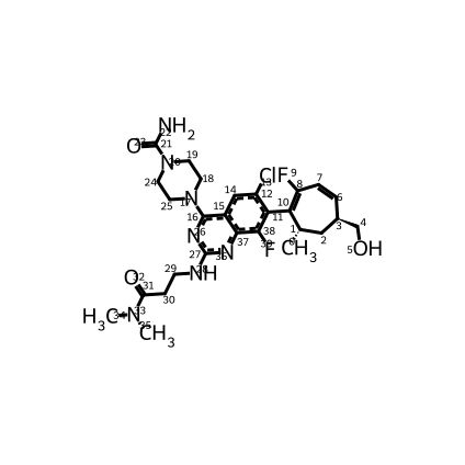 C[C@H]1C[C@H](CO)C=CC(F)=C1c1c(Cl)cc2c(N3CCN(C(N)=O)CC3)nc(NCCC(=O)N(C)C)nc2c1F